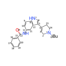 CCC(C)N1CC=C(c2c[nH]c3ccc(NC(=O)c4ccccc4)cc23)CC1